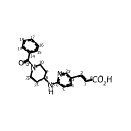 O=C(O)C=Cc1ccc(NC2CCN(C(=O)c3ccccc3)CC2)nc1